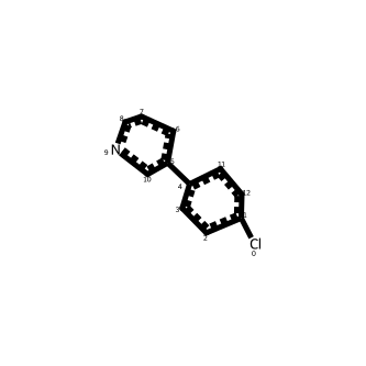 Clc1ccc(-c2cccnc2)cc1